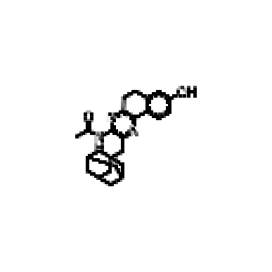 CC(=O)Nc1nc2c(nc1CC13CC4CC(CC(C4)C1)C3)-c1ccc(O)cc1CC2